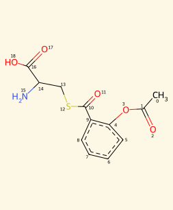 CC(=O)Oc1ccccc1C(=O)SCC(N)C(=O)O